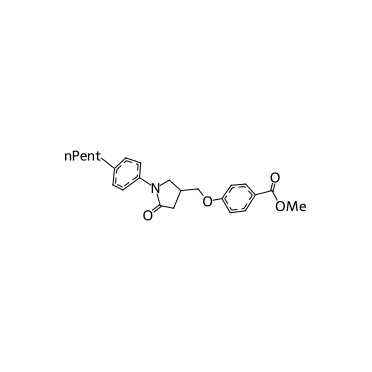 CCCCCc1ccc(N2CC(COc3ccc(C(=O)OC)cc3)CC2=O)cc1